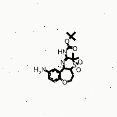 CC(C)(C)OC(=O)NC1=N[C@]2(C)c3cc(N)ccc3OCCC2S(=O)(=O)C1(C)C